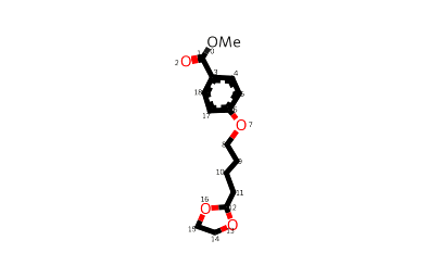 COC(=O)c1ccc(OCCCCC2OCCO2)cc1